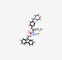 Cl.O=C(N[C@@H](Cc1ccc(CN2CCOCC2)cc1)C(=O)O)OCC1c2ccccc2-c2ccccc21